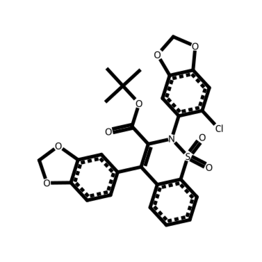 CC(C)(C)OC(=O)C1=C(c2ccc3c(c2)OCO3)c2ccccc2S(=O)(=O)N1c1cc2c(cc1Cl)OCO2